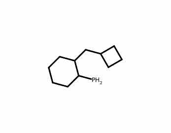 PC1CCCCC1CC1CCC1